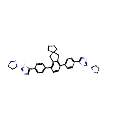 c1cc(-c2ccc(-c3ccc(-c4cnc([C@@H]5CCCN5)[nH]4)cc3)c3c2CC2(CCCC2)C3)ccc1-c1cnc([C@@H]2CCCN2)[nH]1